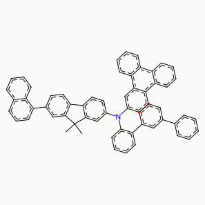 CC1(C)c2cc(-c3cccc4ccccc34)ccc2-c2ccc(N(c3ccc4c5ccccc5c5ccccc5c4c3)c3ccccc3-c3cccc(-c4ccccc4)c3)cc21